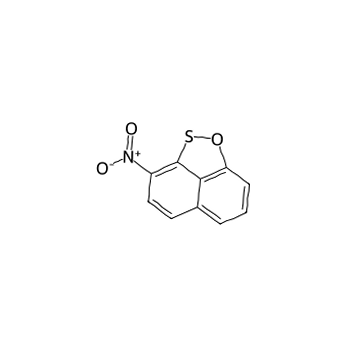 O=[N+]([O-])c1ccc2cccc3c2c1SO3